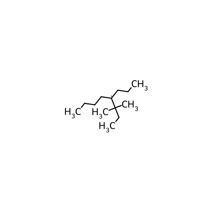 CCCC[C](CCC)C(C)(C)CC